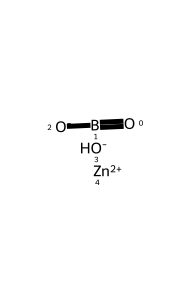 O=B[O-].[OH-].[Zn+2]